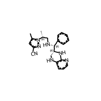 Cc1cc(C#N)nn1[C@H](C)CN[C@H](c1ccccc1)[C@H]1CNc2cccnc2N1